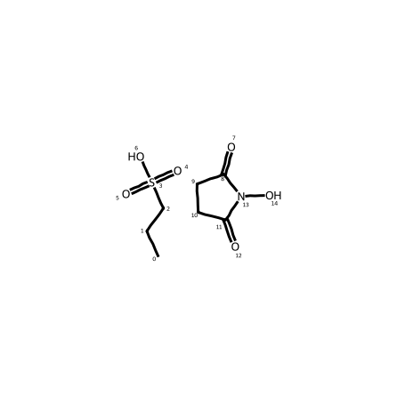 CCCS(=O)(=O)O.O=C1CCC(=O)N1O